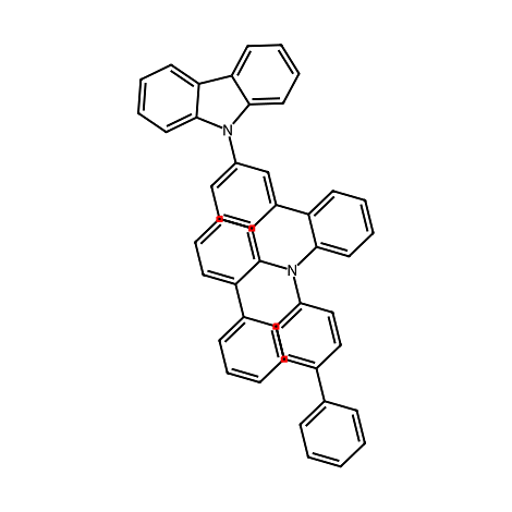 c1ccc(-c2ccc(N(c3ccccc3-c3ccccc3)c3ccccc3-c3cccc(-n4c5ccccc5c5ccccc54)c3)cc2)cc1